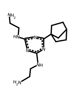 NCCNc1nc(NCCN)nc(C23CCC(CC2)C3)n1